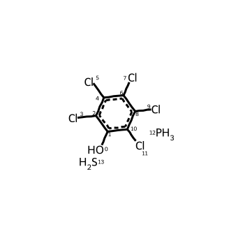 Oc1c(Cl)c(Cl)c(Cl)c(Cl)c1Cl.P.S